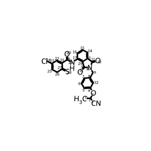 CC(C#N)Oc1cccc(CN2C(=O)c3cccc(NC(=O)C4=CC(Cl)=CCC4=S)c3C2=O)c1